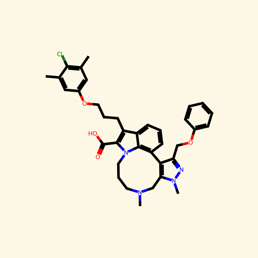 Cc1cc(OCCCc2c(C(=O)O)n3c4c(cccc24)-c2c(COc4ccccc4)nn(C)c2CN(C)CCC3)cc(C)c1Cl